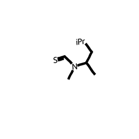 CC(C)CC(C)N(C)C=S